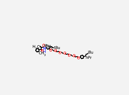 C=C(/C=C(OCCOCCOCCOCCOCCOCCOc1ccc(C(CCC)CCC(C)CC)cc1)\C(=C/CC(C)(C)C)C(C)(C)C)NC(=O)/C(=C/C)C(=O)c1ccccc1C